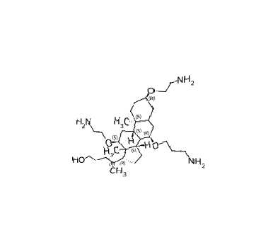 C[C@H](CCCO)[C@H]1CC[C@H]2C3[C@H](OCCCN)CC4C[C@H](OCCN)CC[C@]4(C)[C@H]3C[C@H](OCCN)C12C